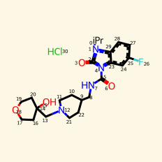 CC(C)n1c(=O)n(C(=O)NCC2CCN(CC3(O)CCOCC3)CC2)c2cc(F)ccc21.Cl